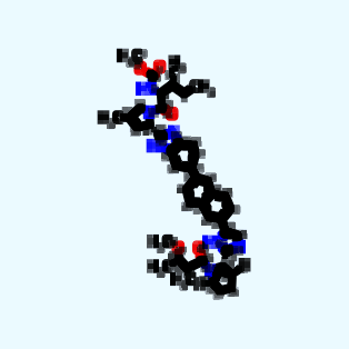 CC[C@H](C)[C@H](NC(=O)OC)C(=O)N1CC(C)=C[C@H]1c1nc2ccc(-c3ccc4cc(-c5cnc([C@@H]6[C@@H]7CC[C@@H](C7)N6C(=O)[C@@H](C)[C@@H](C)OC)[nH]5)ccc4c3)cc2[nH]1